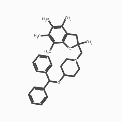 Cc1c(C)c2c(c(C)c1N)CC(C)(CN1CCC(OC(c3ccccc3)c3ccccc3)CC1)O2